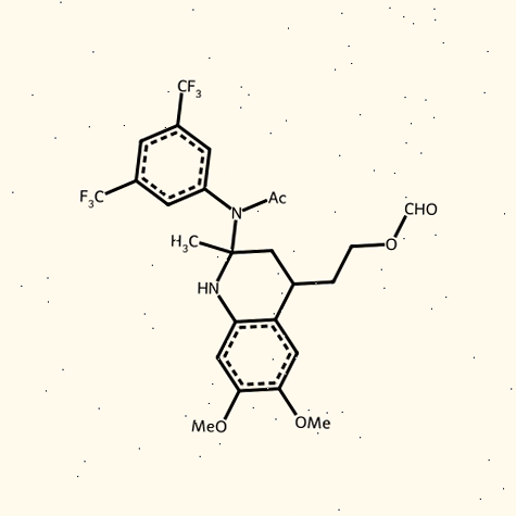 COc1cc2c(cc1OC)C(CCOC=O)CC(C)(N(C(C)=O)c1cc(C(F)(F)F)cc(C(F)(F)F)c1)N2